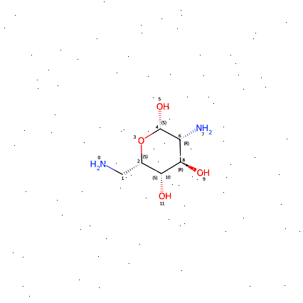 NC[C@@H]1O[C@H](O)[C@H](N)[C@@H](O)[C@@H]1O